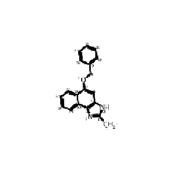 [CH2]c1nc2c(cc(OCc3ccccc3)c3ccccc32)[nH]1